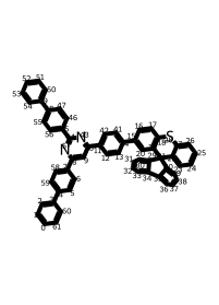 c1ccc(-c2ccc(-c3cc(-c4ccc(-c5ccc6c(c5)C5(c7ccccc7S6)c6ccccc6-c6ccccc65)cc4)nc(-c4ccc(-c5ccccc5)cc4)n3)cc2)cc1